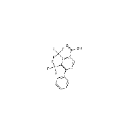 O=C(O)c1ccc(-c2ccccc2)c(C(F)(F)F)c1C(F)(F)F